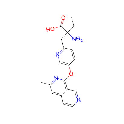 CCC(N)(Cc1ccc(Oc2nc(C)cc3ccncc23)cn1)C(=O)O